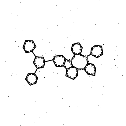 c1ccc(-c2cc(-c3ccccc3)cc(-c3ccc4c(c3)c3cccc5c6ccccc6n(-c6ccccc6)c6ccccc6n4c53)c2)cc1